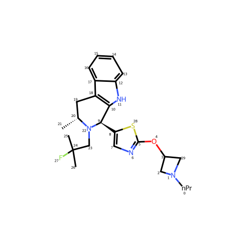 CCCN1CC(Oc2ncc([C@@H]3c4[nH]c5ccccc5c4C[C@@H](C)N3CC(C)(C)F)s2)C1